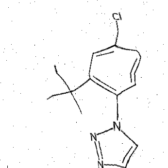 CC(C)(C)c1cc(Cl)ccc1-n1ccnn1